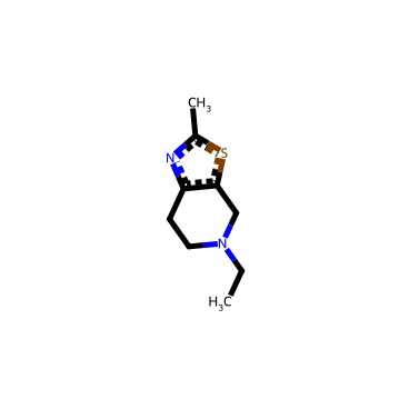 CCN1CCc2nc(C)sc2C1